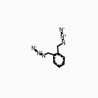 [N-]=[N+]=NCc1ccccc1CN=[N+]=[N-]